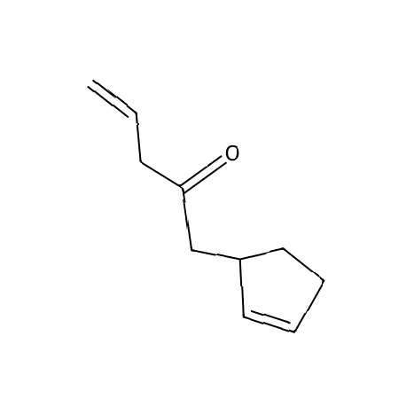 C=CCC(=O)CC1C=CCC1